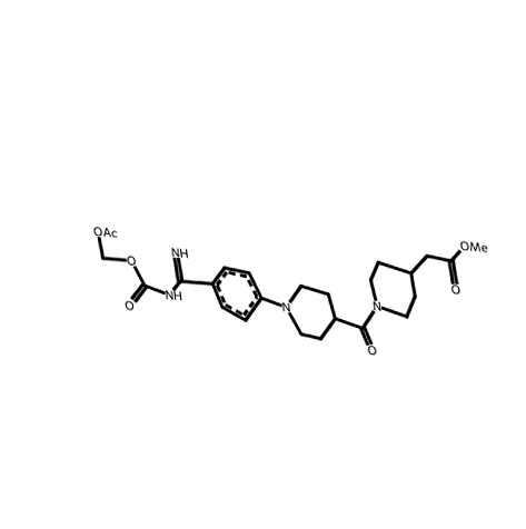 COC(=O)CC1CCN(C(=O)C2CCN(c3ccc(C(=N)NC(=O)OCOC(C)=O)cc3)CC2)CC1